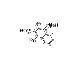 CC(C)c1c(S(=O)(=O)O)c(C(C)C)c2ccccc2c1C(C)C.[NaH]